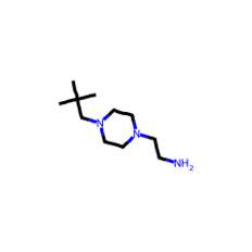 CC(C)(C)CN1CCN(CCN)CC1